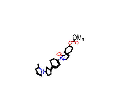 COC(=O)OC1CCC2(CC1)CCN(c1ccc(C3CCC(N4CCCC4C)C3)cc1)C2=O